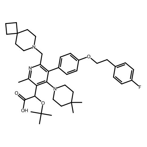 Cc1nc(CN2CCC3(CCC3)CC2)c(-c2ccc(OCCc3ccc(F)cc3)cc2)c(N2CCC(C)(C)CC2)c1C(OC(C)(C)C)C(=O)O